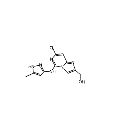 Cc1cc(Nc2nc(Cl)cc3nc(CO)cn23)n[nH]1